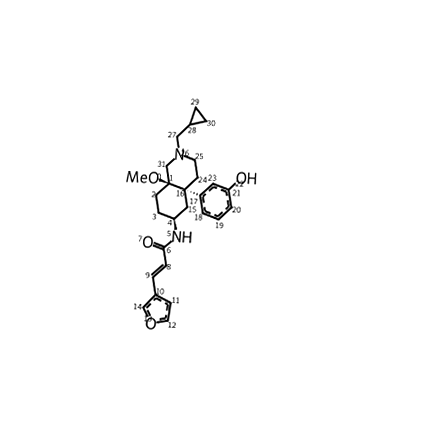 CO[C@]12CC[C@H](NC(=O)C=Cc3ccoc3)C[C@]1(c1cccc(O)c1)CCN(CC1CC1)C2